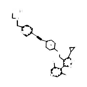 O=C(O)COCc1ccc(C#CC23CCC(OCc4c(-c5c(Cl)cncc5Cl)noc4C4CC4)(CC2)CC3)cn1